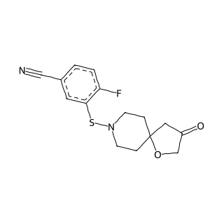 N#Cc1ccc(F)c(SN2CCC3(CC2)CC(=O)CO3)c1